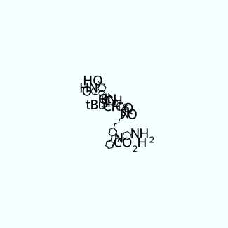 CC(C)(C)[Si](C)(C)O[C@@H](CNCc1ccc2c(c1)oc(=O)n2CCCCc1ccc(-c2ccccc2)c(N(C(=O)O)C2CCC(N)CC2)c1)c1ccc(O)c2[nH]c(=O)ccc12